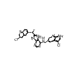 FC(c1ccc2ncc(Cl)cc2c1)c1nc2ncnc(NCc3cnc4[nH]cc(Cl)c4c3)c2[nH]1